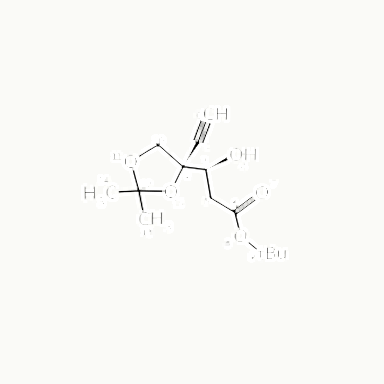 C#C[C@]1([C@@H](O)CC(=O)OC(C)(C)C)COC(C)(C)O1